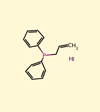 C=CCP(c1ccccc1)c1ccccc1.I